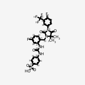 CC1(C)C(=O)N(c2ccc(F)c(C(F)(F)F)c2)C(=O)N1Cc1ccc(F)cc1NC(=O)Nc1ccc(S(=O)(=O)O)cc1